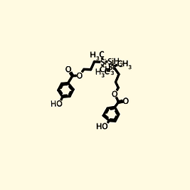 C[Si](C)(CCCOC(=O)c1ccc(O)cc1)[SiH2][Si](C)(C)CCCOC(=O)c1ccc(O)cc1